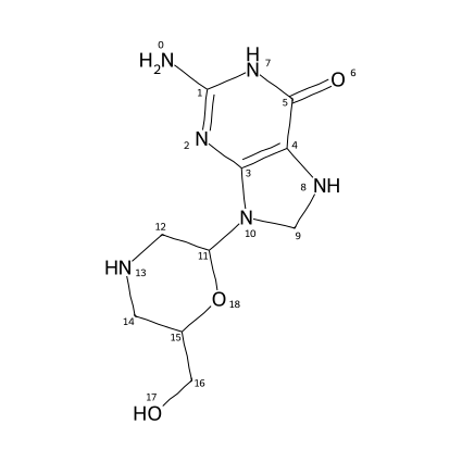 Nc1nc2c(c(=O)[nH]1)NCN2C1CNCC(CO)O1